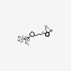 Cc1c(Br)cccc1OCCC[C@@H]1CCCN(C(=O)OC(C)(C)C)C1